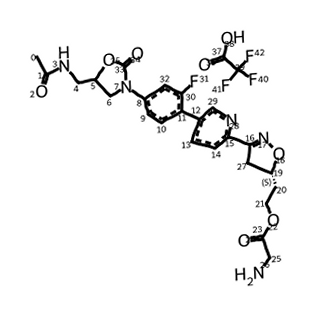 CC(=O)NCC1CN(c2ccc(-c3ccc(C4=NO[C@H](CCOC(=O)CN)C4)nc3)c(F)c2)C(=O)O1.O=C(O)C(F)(F)F